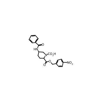 O=C(NC1CCC(C(=O)OCc2ccc([N+](=O)[O-])cc2)N(C(=O)O)C1)c1ccccc1